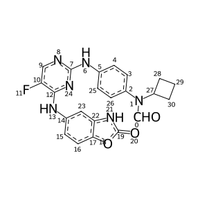 O=CN(c1ccc(Nc2ncc(F)c(Nc3ccc4oc(=O)[nH]c4c3)n2)cc1)C1CCC1